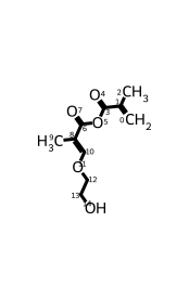 C=C(C)C(=O)OC(=O)C(C)=COCCO